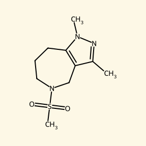 Cc1nn(C)c2c1CN(S(C)(=O)=O)CCC2